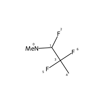 CNC(F)C(C)(F)F